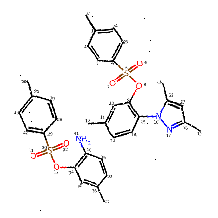 Cc1ccc(S(=O)(=O)Oc2cc(C)ccc2-n2nc(C)cc2C)cc1.Cc1ccc(S(=O)(=O)Oc2cc(C)ccc2N)cc1